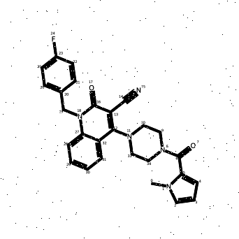 Cn1cccc1C(=O)N1CCN(c2c(C#N)c(=O)n(Cc3ccc(F)cc3)c3ccccc23)CC1